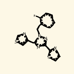 Fc1ccccc1Cn1nc(-c2nccs2)nc1-c1cscn1